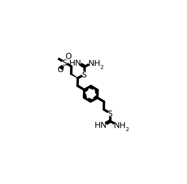 CS(=O)(=O)CC[C@H](Cc1ccc(CCSC(=N)N)cc1)SC(=N)N